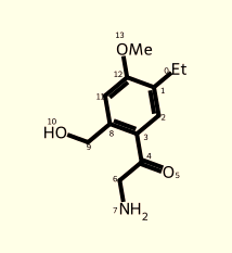 CCc1cc(C(=O)CN)c(CO)cc1OC